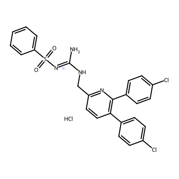 Cl.N/C(=N\S(=O)(=O)c1ccccc1)NCc1ccc(-c2ccc(Cl)cc2)c(-c2ccc(Cl)cc2)n1